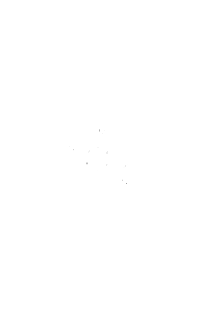 COc1cc(C(=O)NC2CCCCC2)ccc1N